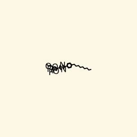 CCCCCCCCCc1ccc(-c2ncc(C(=O)OC(COC)C(F)(F)F)cn2)cc1